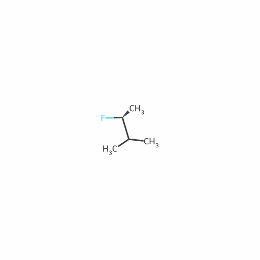 CC(C)[C@H](C)F